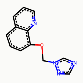 c1cnc2c(OCn3cncn3)cccc2c1